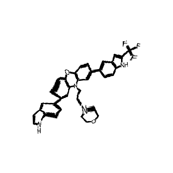 FC(F)(F)c1cc2cc(-c3ccc4c(c3)N(CCN3CCOCC3)c3cc(-c5ccc6[nH]ccc6c5)ccc3O4)ccc2[nH]1